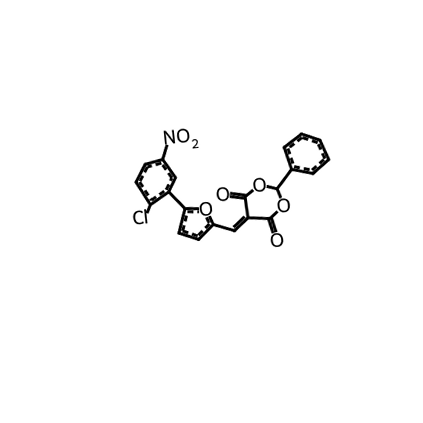 O=C1OC(c2ccccc2)OC(=O)C1=Cc1ccc(-c2cc([N+](=O)[O-])ccc2Cl)o1